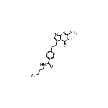 CC(=O)CCCNC(=O)c1ccc(CCC2=CN=C3N=C(N)NC(=O)C23)cc1